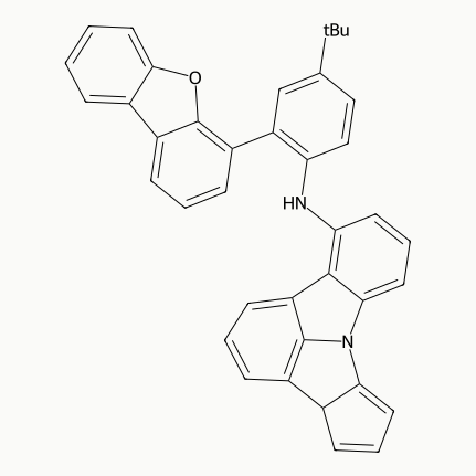 CC(C)(C)c1ccc(Nc2cccc3c2c2cccc4c2n3C2=CC=CC24)c(-c2cccc3c2oc2ccccc23)c1